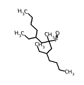 CCCCC(CC)CC(C)(CC(CC)CCCC)P=O